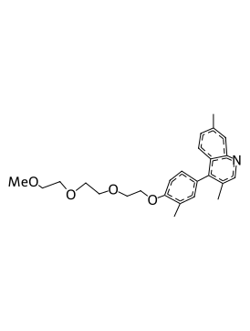 COCCOCCOCCOc1ccc(-c2c(C)cnc3cc(C)ccc23)cc1C